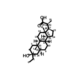 CC[C@]1(O)CC[C@@]2(C)[C@@H](CC[C@@H]3[C@@H]2CC[C@]2(C)[C@@H]([C@H](C)C(=O)O)CC[C@@H]32)C1